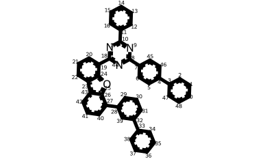 c1ccc(-c2ccc(-c3nc(-c4ccccc4)nc(-c4cccc5c4oc4c(-c6cccc(-c7ccccc7)c6)cccc45)n3)cc2)cc1